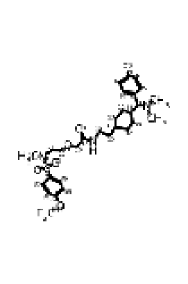 CN(C)C(c1ccc(F)cc1)C1CCC(CCNC(=O)COCCN(C)S(=O)(=O)c2ccc(OC(F)(F)F)cc2)CC1